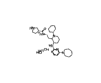 Cl.Cl.Cl.O=C(NCCC1C(Nc2nccc(N3CCCCCC3)n2)CCCN1C1CCCCC1)[C@H]1CCNC1